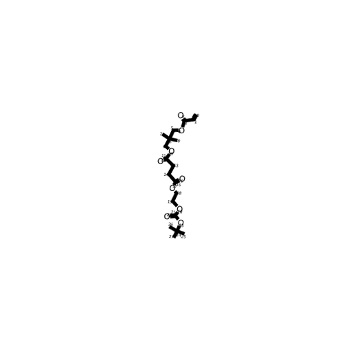 C=CC(=O)OCC(C)(C)COC(=O)CCC(=O)OCCOC(=O)OC(C)(C)C